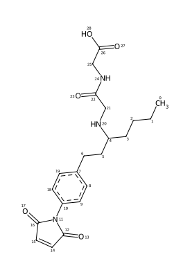 CCCCC(CCc1ccc(N2C(=O)C=CC2=O)cc1)NCC(=O)NCC(=O)O